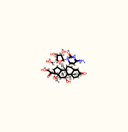 C[C@]12CCC(=O)C=C1CC[C@@H]1[C@@H]2[C@@H](O)C[C@@]2(C)[C@H]1CC[C@]2(O)C(=O)CO.Nc1ccn([C@@H]2O[C@H](CO)[C@@H](O)[C@@H]2O)c(=O)n1